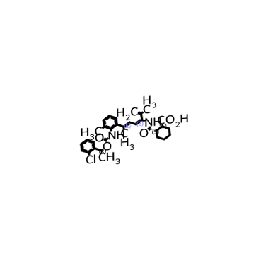 C=C(C)/C(=C\C=C(/C)c1cccc(C)c1NC(=O)O[C@H](C)c1ccccc1Cl)NC(=O)[C@H]1CCCC[C@@H]1C(=O)O